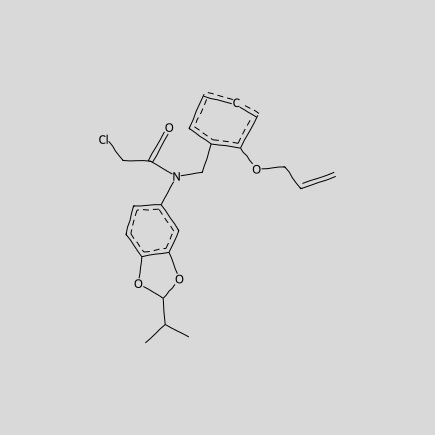 C=CCOc1ccccc1CN(C(=O)CCl)c1ccc2c(c1)OC(C(C)C)O2